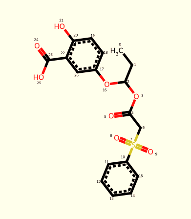 CCC(OC(=O)CS(=O)(=O)c1ccccc1)Oc1ccc(O)c(C(=O)O)c1